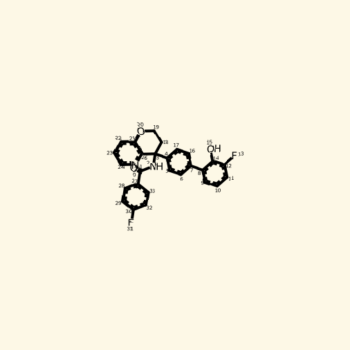 O=C(NC1(c2ccc(-c3cccc(F)c3O)cc2)CCOc2cccnc21)c1ccc(F)cc1